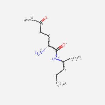 CCOC(=O)CC[C@@H](NC(=O)[C@H](N)CCC(=O)OC)C(=O)OCC